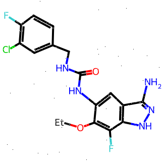 CCOc1c(NC(=O)NCc2ccc(F)c(Cl)c2)cc2c(N)n[nH]c2c1F